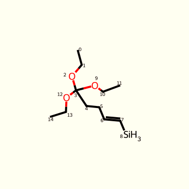 CCOC(CCC=C[SiH3])(OCC)OCC